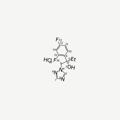 CCC(O)(Cn1cncn1)c1ccc(F)cc1F.Cl